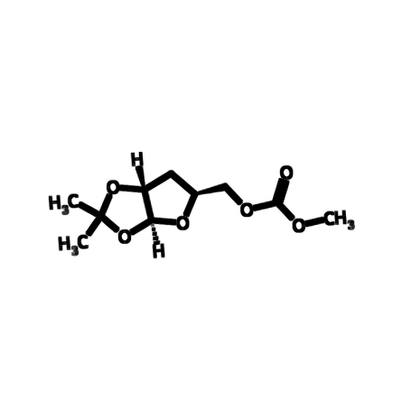 COC(=O)OC[C@@H]1C[C@H]2OC(C)(C)O[C@@H]2O1